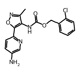 Cc1noc(-c2ccc(N)cn2)c1NC(=O)OCc1ccccc1Cl